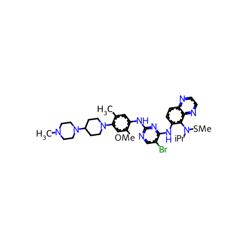 COc1cc(N2CCC(N3CCN(C)CC3)CC2)c(C)cc1Nc1ncc(Br)c(Nc2ccc3nccnc3c2N(SC)C(C)C)n1